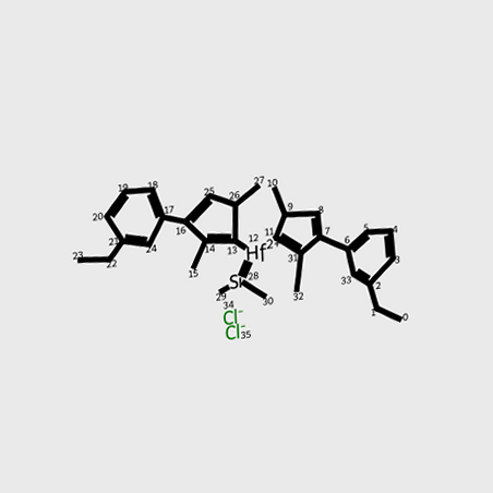 CCc1cccc(C2=CC(C)[C]([Hf+2]([C]3=C(C)C(c4cccc(CC)c4)=CC3C)=[Si](C)C)=C2C)c1.[Cl-].[Cl-]